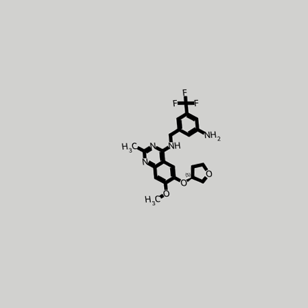 COc1cc2nc(C)nc(NCc3cc(N)cc(C(F)(F)F)c3)c2cc1O[C@H]1CCOC1